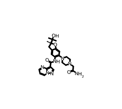 CC(C)(O)[C@@]1(C)Cc2cc(NC(=O)c3cnn4cccnc34)c(N3CCN(CC(N)=O)CC3)cc2O1